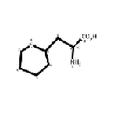 N[C@@H](CC1CCCCS1)C(=O)O